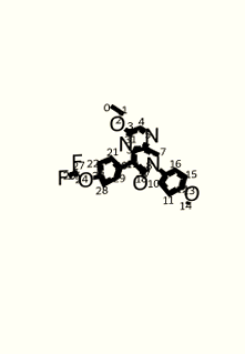 CCOc1cnc2cn(-c3ccc(OC)cc3)c(=O)c(-c3ccc(OC(F)F)cc3)c2n1